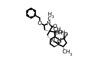 C[C@H]1CC(=O)N2C3C(C)(C)[C@@]4(CC(OCc5ccccc5)N(C)C4=O)C[C@]34CC[C@]12C(=O)N4C